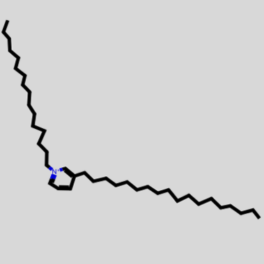 CCCCCCCCCCCCCCCCCCc1ccc[n+](CCCCCCCCCCCCCCCC)c1